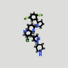 Fc1ccc(F)c(C2CCCN2c2ccc3ncc(Cl)c(-c4cnn(C5CCNCC5)c4)c3n2)c1